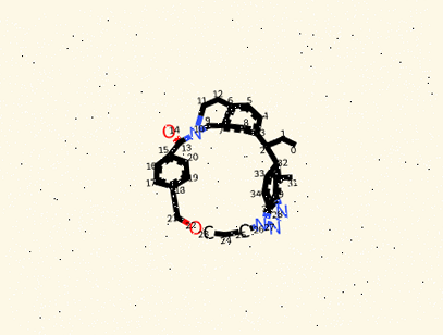 CCC1c2ccc3c(c2)CN(CC3)C(=O)c2ccc(cc2)COCCCn2nnc3c(C)c1ccc32